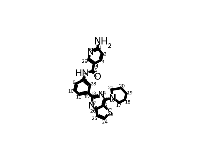 Nc1ccc(C(=O)Nc2cccc(-c3nc(N4CCCCC4)c4sccc4n3)c2)cn1